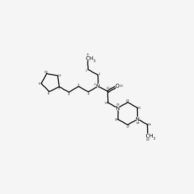 CCCN(CCCC1CCCC1)C(=O)CN1CCN(CC)CC1